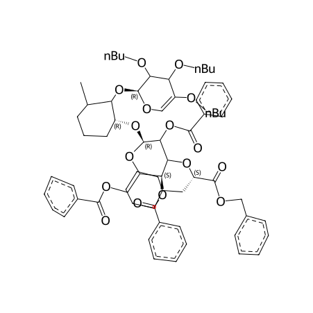 CCCCOC1=CO[C@@H](OC2C(C)CCC[C@H]2O[C@@H]2OC(COC(=O)c3ccccc3)[C@H](OC(=O)c3ccccc3)C(O[C@@H](CC3CCCCC3)C(=O)OCc3ccccc3)C2OC(=O)c2ccccc2)C(OCCCC)C1OCCCC